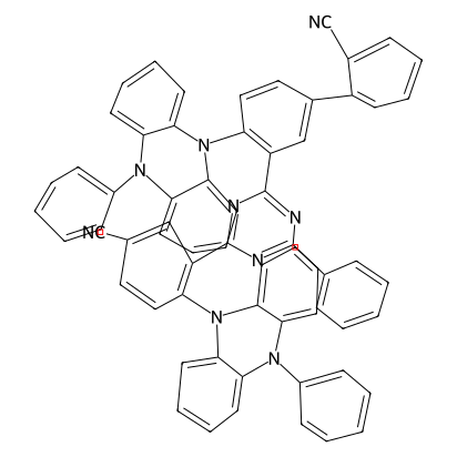 N#Cc1ccc(N2c3ccccc3N(c3ccccc3)c3ccccc32)c(-c2nc(-c3ccccc3)nc(-c3cc(-c4ccccc4C#N)ccc3N3c4ccccc4N(c4ccccc4)c4ccccc43)n2)c1